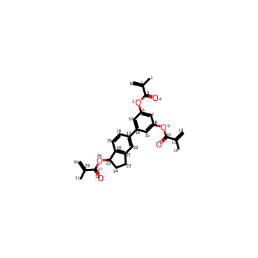 C=C(C)C(=O)Oc1cc(OC(=O)C(=C)C)cc(-c2ccc3c(c2)CCC3OC(=O)C(=C)C)c1